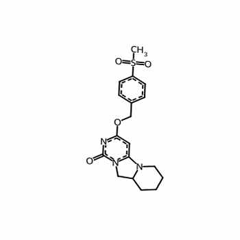 CS(=O)(=O)c1ccc(COc2cc3n(c(=O)n2)CC2CCCCN32)cc1